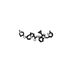 Cc1cccc(Cn2nc(C3CC3)c3c(NC(=O)c4cnc5cc(OC6CCN(C)CC6)ccn45)cccc32)n1